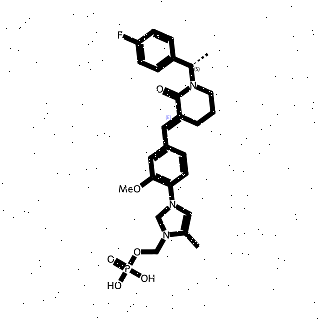 COc1cc(/C=C2\CCCN([C@@H](C)c3ccc(F)cc3)C2=O)ccc1N1C=C(C)N(COP(=O)(O)O)C1